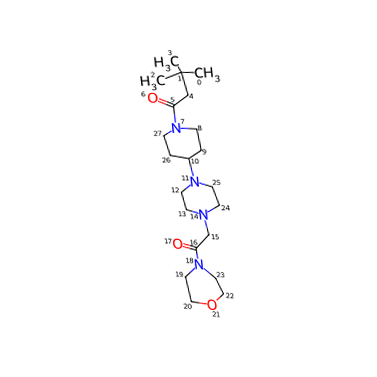 CC(C)(C)CC(=O)N1CCC(N2CCN(CC(=O)N3CCOCC3)CC2)CC1